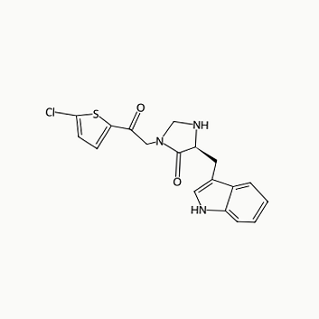 O=C(CN1CN[C@@H](Cc2c[nH]c3ccccc23)C1=O)c1ccc(Cl)s1